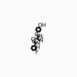 O=C(Nc1ncnc(Oc2ccc(O)cc2)c1Cl)c1cccc(F)c1